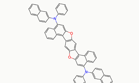 c1ccc(N(c2ccc3ccccc3c2)c2cc3oc4cc5c(cc4c3c3ccccc23)oc2cc(N(c3ccccc3)c3ccc4ccccc4c3)c3ccccc3c25)cc1